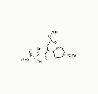 COC(=O)[C@@H](O)[C@H](Br)C(=O)N(CC(=O)OC(C)(C)C)c1ccc(OC)cc1